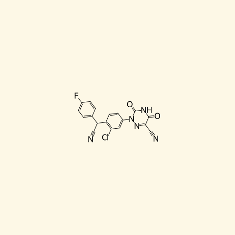 N#Cc1nn(-c2ccc(C(C#N)c3ccc(F)cc3)c(Cl)c2)c(=O)[nH]c1=O